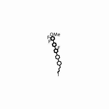 COc1ccc(-c2ccc(-c3ccc(C4CCC(C5CCC(CC/C=C/I)CC5)CC4)cc3F)cc2)c(F)c1F